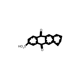 O=C1c2ccc(S(=O)(=O)O)cc2C(=O)c2cc3ccccc3cc21